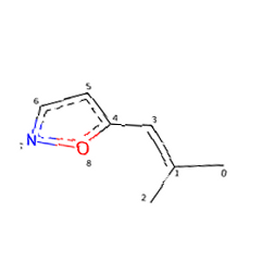 CC(C)=Cc1ccno1